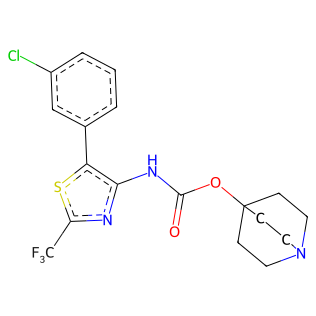 O=C(Nc1nc(C(F)(F)F)sc1-c1cccc(Cl)c1)OC12CCN(CC1)CC2